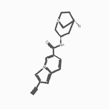 C#Cc1cc2ccc(C(=O)N[C@@H]3C[C@@H]4CCN(C4)C3)cn2c1